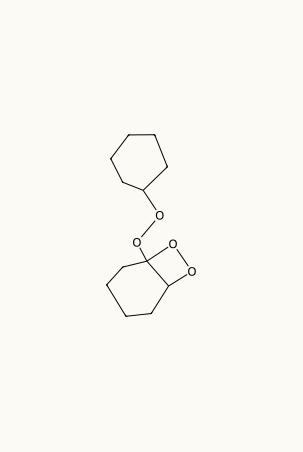 C1CCC(OOC23CCCCC2OO3)CC1